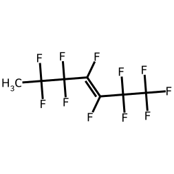 CC(F)(F)C(F)(F)C(F)=C(F)C(F)(F)C(F)(F)F